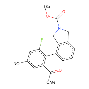 COC(=O)c1cc(C#N)cc(F)c1-c1cccc2c1CN(C(=O)OC(C)(C)C)C2